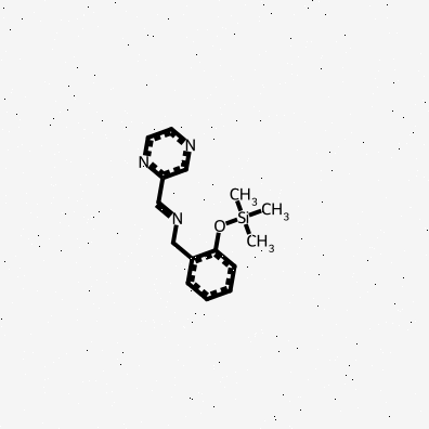 C[Si](C)(C)Oc1ccccc1CN=Cc1cnccn1